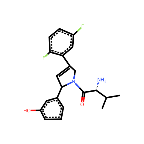 CC(C)[C@@H](N)C(=O)N1CC(c2cc(F)ccc2F)=CC1c1cccc(O)c1